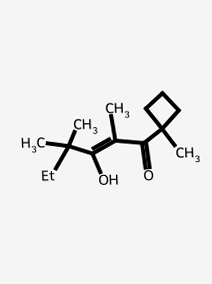 CCC(C)(C)/C(O)=C(\C)C(=O)C1(C)CCC1